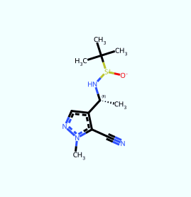 C[C@@H](N[S+]([O-])C(C)(C)C)c1cnn(C)c1C#N